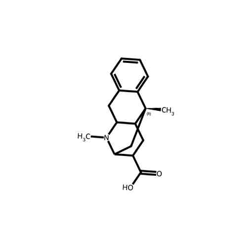 CN1C2C[C@@]3(C)c4ccccc4CC1C3CC2C(=O)O